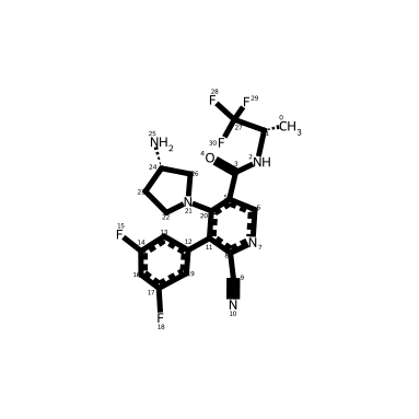 C[C@H](NC(=O)c1cnc(C#N)c(-c2cc(F)cc(F)c2)c1N1CC[C@H](N)C1)C(F)(F)F